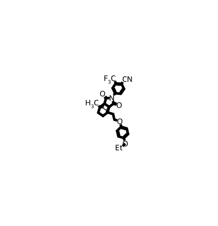 CCOc1ccc(OCCC23CCC(C)(O2)C2C(=O)N(c4ccc(C#N)c(C(F)(F)F)c4)C(=O)C23)cc1